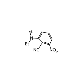 CCN(CC)c1cccc([N+](=O)[O-])c1C#N